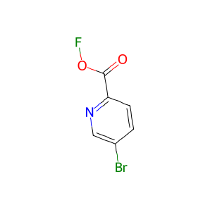 O=C(OF)c1ccc(Br)cn1